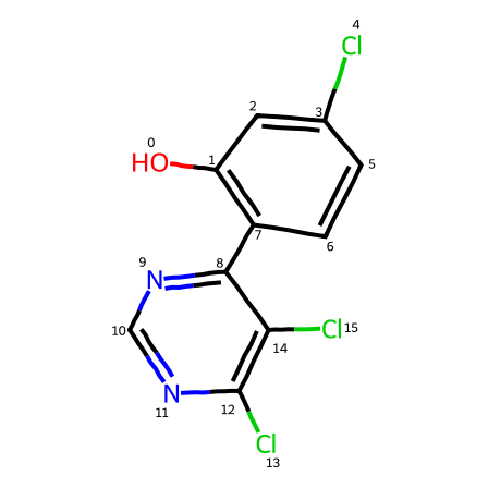 Oc1cc(Cl)ccc1-c1ncnc(Cl)c1Cl